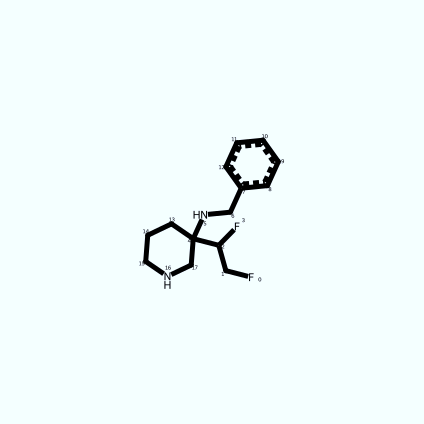 FCC(F)C1(NCc2ccccc2)CCCNC1